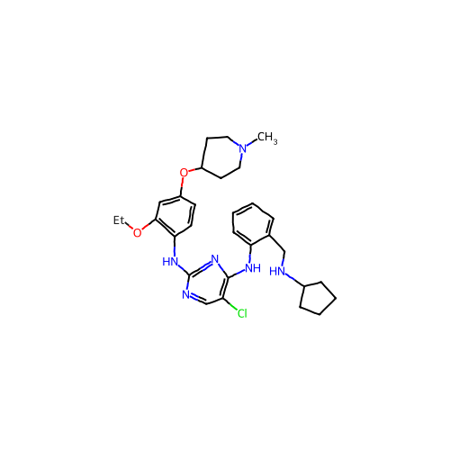 CCOc1cc(OC2CCN(C)CC2)ccc1Nc1ncc(Cl)c(Nc2ccccc2CNC2CCCC2)n1